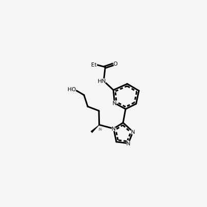 CCC(=O)Nc1cccc(-c2nncn2[C@@H](C)CCCO)n1